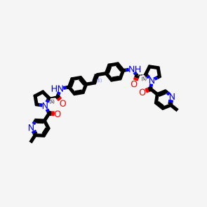 Cc1ccc(C(=O)N2CCC[C@H]2C(=O)Nc2ccc(/C=C/c3ccc(NC(=O)[C@@H]4CCCN4C(=O)c4ccc(C)nc4)cc3)cc2)cn1